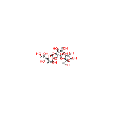 C[C@H]1C([C@H](O)[C@H](O)CO)O[C@H](O[C@@H]2C(O)[C@H](O[C@@H]3C(CO)OC(O)C(O)[C@H]3O)OC(CO)[C@@H]2O)C[C@H]1O